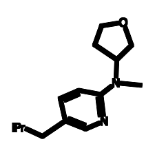 CC(C)Cc1ccc(N(C)C2CCOC2)nc1